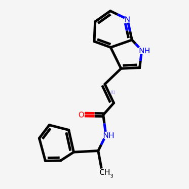 CC(NC(=O)/C=C/c1c[nH]c2ncccc12)c1ccccc1